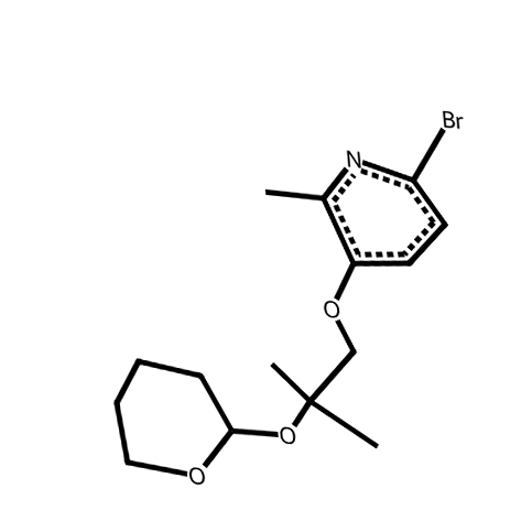 Cc1nc(Br)ccc1OCC(C)(C)OC1CCCCO1